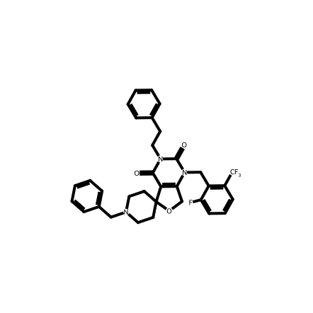 O=c1c2c(n(Cc3c(F)cccc3C(F)(F)F)c(=O)n1CCc1ccccc1)COC21CCN(Cc2ccccc2)CC1